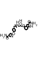 CC(C)(Cc1ccc(Oc2ccc(C(N)=O)cn2)cc1)NCC(O)COc1cccc2[nH]c(C(N)=O)cc12